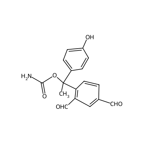 CC(OC(N)=O)(c1ccc(O)cc1)c1ccc(C=O)cc1C=O